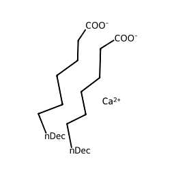 CCCCCCCCCCCCCCCC(=O)[O-].CCCCCCCCCCCCCCCC(=O)[O-].[Ca+2]